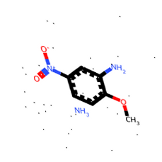 COc1ccc([N+](=O)[O-])cc1N.N